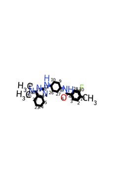 Cc1ccc(C(=O)NC2CCC(Nc3nc4c(c(N(C)C)n3)CCCC4)CC2)cc1F